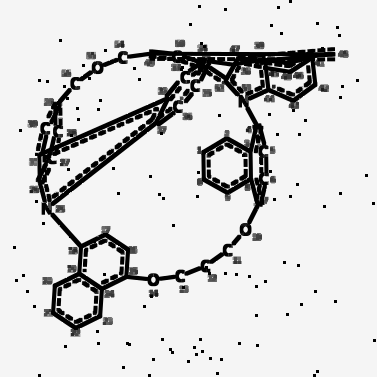 c1ccc2c3ccc(c2c1)OCCCOc1ccc(c2ccccc12)-n1c2ccc4cc2c2cc(ccc21)COCc1ccc2c(c1)c1cc(ccc1n2-3)COC4